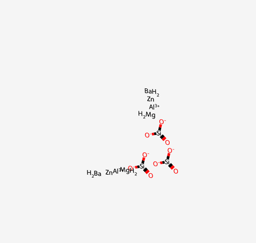 O=[Si]([O-])[O-].O=[Si]([O-])[O-].O=[Si]([O-])[O-].[Al+3].[Al+3].[BaH2].[BaH2].[MgH2].[MgH2].[Zn].[Zn]